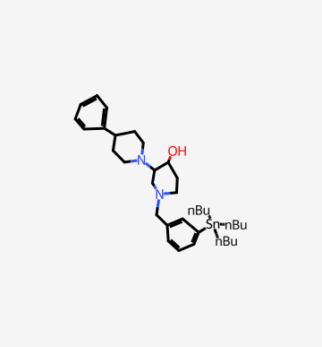 CCC[CH2][Sn]([CH2]CCC)([CH2]CCC)[c]1cccc(CN2CCC(O)C(N3CCC(c4ccccc4)CC3)C2)c1